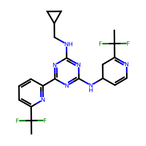 CC(F)(F)C1=NC=CC(Nc2nc(NCC3CC3)nc(-c3cccc(C(C)(F)F)n3)n2)C1